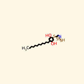 CCCCCCCCCCCCc1cc(O)c(SC2=CN=S(S)S2)cc1O